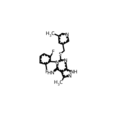 Cc1cncc(CSc2nc3[nH]nc(C)c3c(=N)n2-c2c(F)cccc2F)c1